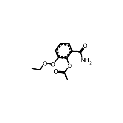 CCOOc1cccc(C(N)=O)c1OC(C)=O